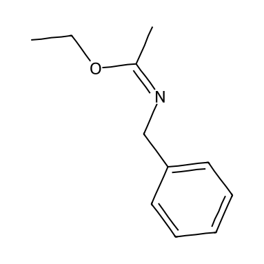 CCOC(C)=NCc1ccccc1